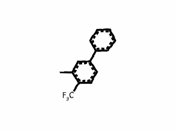 Cc1cc(-c2ccccc2)ccc1C(F)(F)F